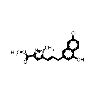 COC(=O)c1cc(/C=C/Cc2cc(O)c3ccc(Cl)cc3c2)n(C)n1